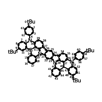 CC(C)(C)c1ccc(N2c3ccc(C(C)(C)C)cc3B3c4ccccc4-n4c5cc6c(cc5c5ccc2c3c54)c2ccc3c4c2n6-c2ccccc2C4c2cc(C(C)(C)C)ccc2N3c2ccc(C(C)(C)C)cc2)cc1